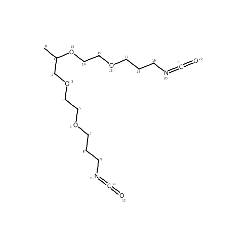 CC(COCCOCCCN=C=O)OCCOCCCN=C=O